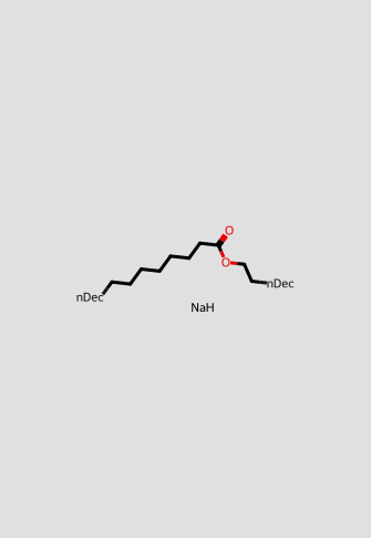 CCCCCCCCCCCCCCCCCC(=O)OCCCCCCCCCCCC.[NaH]